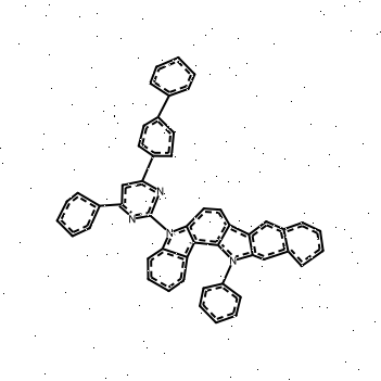 c1ccc(-c2ccc(-c3cc(-c4ccccc4)nc(-n4c5ccccc5c5c4ccc4c6cc7ccccc7cc6n(-c6ccccc6)c45)n3)cc2)cc1